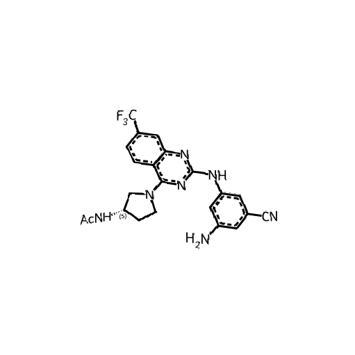 CC(=O)N[C@H]1CCN(c2nc(Nc3cc(N)cc(C#N)c3)nc3cc(C(F)(F)F)ccc23)C1